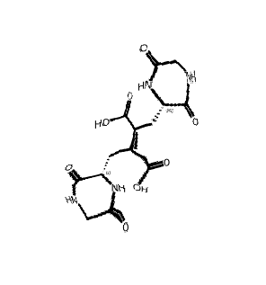 O=C1CNC(=O)[C@H](CC(C(=O)O)=C(C[C@@H]2NC(=O)CNC2=O)C(=O)O)N1